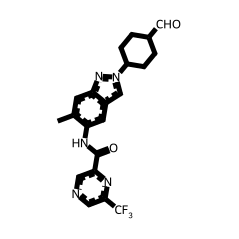 Cc1cc2nn(C3CCC(C=O)CC3)cc2cc1NC(=O)c1cncc(C(F)(F)F)n1